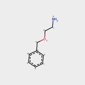 NC[CH]OCc1ccccc1